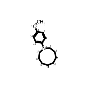 COc1ccc(N2CCCCCCCC2)cc1